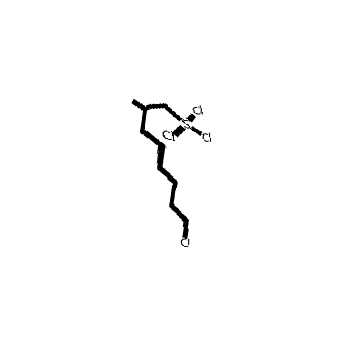 CC(CCCCCCCl)CS(Cl)(Cl)Cl